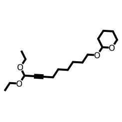 CCOC(C#CCCCCCCOC1CCCCO1)OCC